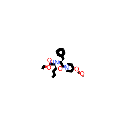 CCCC[C@H](N[C@@H](Cc1ccccc1)C(=O)N1CCC(OCOC)CC1)C(=O)OCC